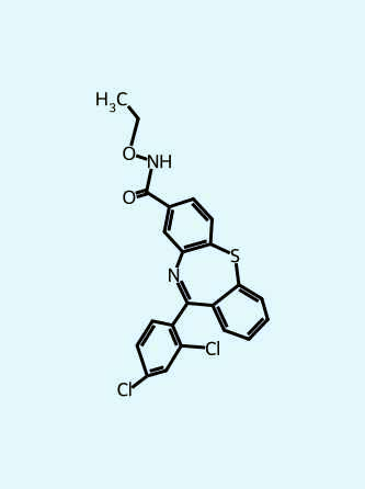 CCONC(=O)c1ccc2c(c1)N=C(c1ccc(Cl)cc1Cl)c1ccccc1S2